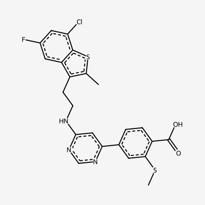 CSc1cc(-c2cc(NCCc3c(C)sc4c(Cl)cc(F)cc34)ncn2)ccc1C(=O)O